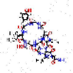 CC[C@H](C)[C@@H]1NC(=O)[C@H](Cc2ccc(O)cc2)NC(=O)CNC(=O)CC[C@@H](C(=O)N(C)CC(=O)N[C@@H](CC(C)C)C(=O)NCC(N)=O)NC(=O)[C@H](CC(N)=O)NC(=O)[C@H](CO)NC1=O